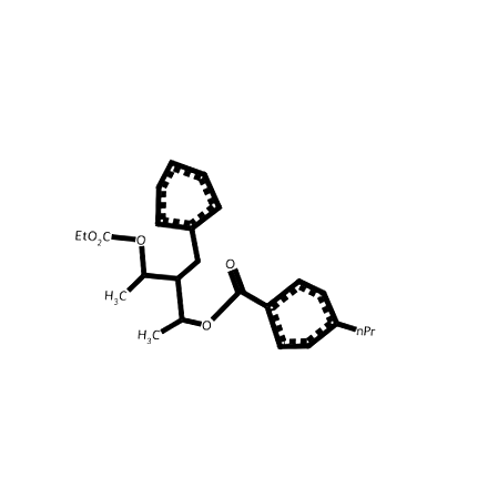 CCCc1ccc(C(=O)OC(C)C(Cc2ccccc2)C(C)OC(=O)OCC)cc1